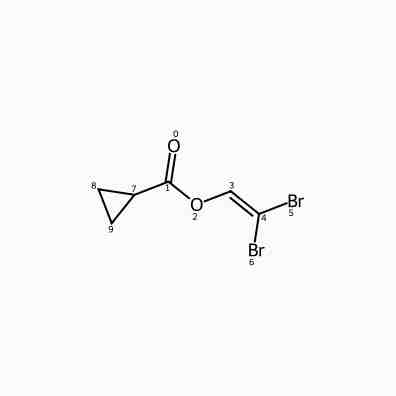 O=C(OC=C(Br)Br)C1CC1